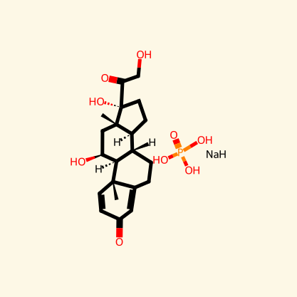 C[C@]12C=CC(=O)C=C1CC[C@@H]1[C@@H]2[C@@H](O)C[C@@]2(C)[C@H]1CC[C@]2(O)C(=O)CO.O=P(O)(O)O.[NaH]